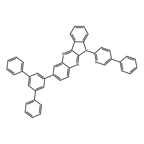 c1ccc(-c2ccc(-n3c4ccccc4c4nc5cc(-c6cc(-c7ccccc7)cc(-c7ccccc7)c6)ccc5nc43)nc2)cc1